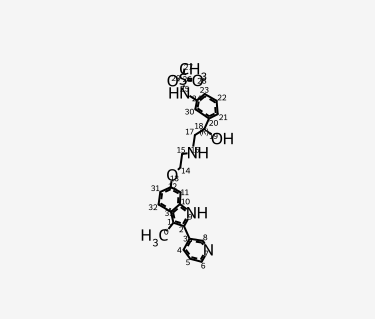 Cc1c(-c2cccnc2)[nH]c2cc(OCCNC[C@H](O)c3cccc(NS(C)(=O)=O)c3)ccc12